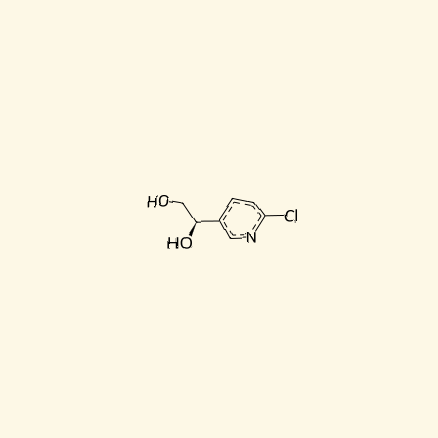 OC[C@H](O)c1ccc(Cl)nc1